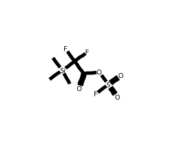 C[Si](C)(C)C(F)(F)C(=O)OS(=O)(=O)F